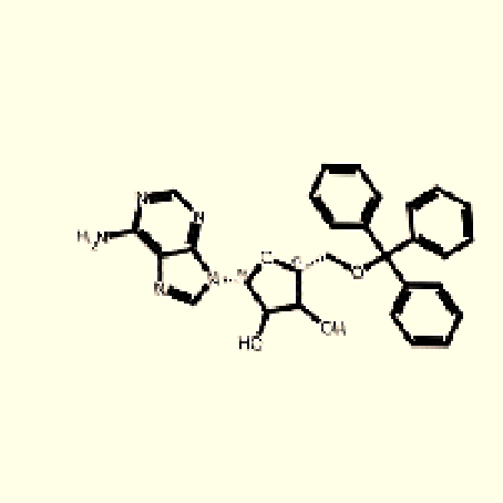 Nc1ncnc2c1ncn2[C@@H]1O[C@H](COC(c2ccccc2)(c2ccccc2)c2ccccc2)C(O)C1O